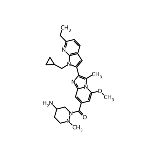 CCc1ccc2cc(-c3nc4cc(C(=O)N5CC(N)CCN5C)cc(OC)n4c3C)n(CC3CC3)c2n1